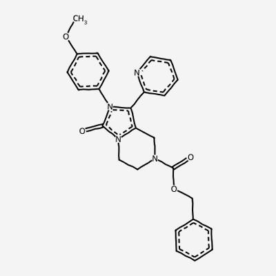 COc1ccc(-n2c(-c3ccccn3)c3n(c2=O)CCN(C(=O)OCc2ccccc2)C3)cc1